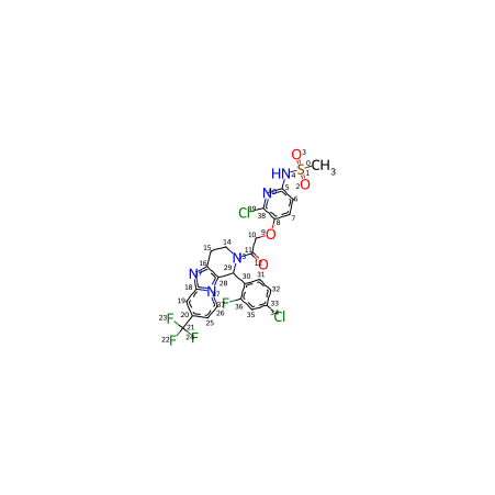 CS(=O)(=O)Nc1ccc(OCC(=O)N2CCc3nc4cc(C(F)(F)F)ccn4c3C2c2ccc(Cl)cc2F)c(Cl)n1